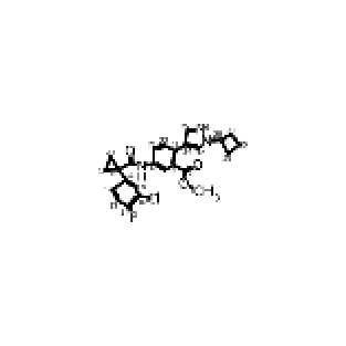 COC(=O)c1cc(NC(=O)C2(c3ccc(F)c(Cl)c3)CC2)ccc1-c1cnn(C2CCC2)c1